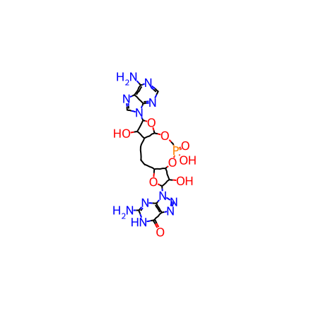 Nc1nc2c(nnn2C2OC3CCCC4C(OCP(=O)(O)OC3C2O)OC(n2cnc3c(N)ncnc32)C4O)c(=O)[nH]1